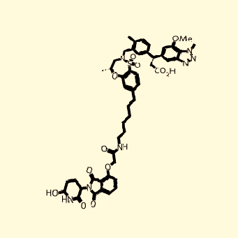 COc1cc([C@@H](CC(=O)O)c2ccc(C)c(CN3C[C@@H](C)Oc4cc(CCCCCCNC(=O)COc5cccc6c5C(=O)N(C5CCC(O)NC5=O)C6=O)ccc4S3(=O)=O)c2)cc2nnn(C)c12